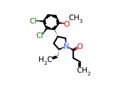 C=CCC(=O)N1C[C@@H](c2c(OC)ccc(Cl)c2Cl)C[C@H]1C=C